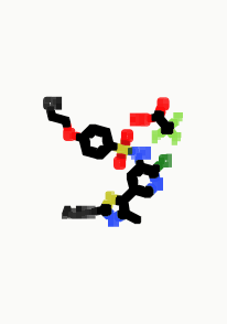 CC(=O)Nc1nc(C)c(-c2cnc(Cl)c(NS(=O)(=O)c3ccc(OCCC#N)cc3)c2)s1.O=C(O)C(F)(F)F